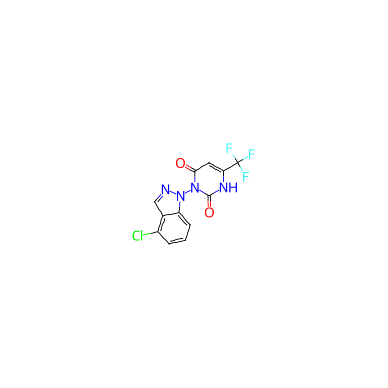 O=c1cc(C(F)(F)F)[nH]c(=O)n1-n1ncc2c(Cl)cccc21